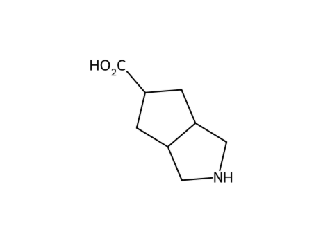 O=C(O)C1CC2CNCC2C1